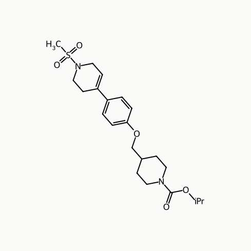 CC(C)OC(=O)N1CCC(COc2ccc(C3=CCN(S(C)(=O)=O)CC3)cc2)CC1